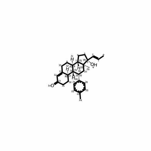 CC=C[C@]1(O)CC[C@H]2[C@@H]3CCC4=CC(=O)CC[C@@H]4[C@H]3[C@@H](c3ccc(C)cc3)C[C@@]21C